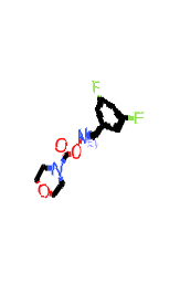 O=C(O/N=C/c1cc(F)cc(F)c1)N1CCOCC1